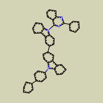 c1ccc(-c2ccc(-n3c4ccccc4c4cc(-c5ccc6c(c5)c5ccccc5n6-c5nc(-c6ccccc6)nc6ccccc56)ccc43)cc2)cc1